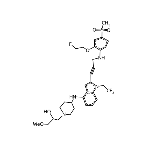 COCC(O)CN1CCC(Nc2cccc3c2cc(C#CCNc2ccc(S(C)(=O)=O)cc2OCCF)n3CC(F)(F)F)CC1